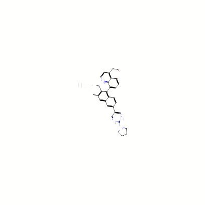 Cc1cc2cc(-c3cnc(N4CCCC4)nc3)ccc2c(-c2ccc3c4c(ccnc24)CCO3)c1CC(=O)O